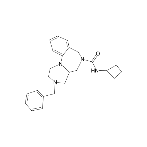 O=C(NC1CCC1)N1Cc2ccccc2N2CCN(Cc3ccccc3)CC2C1